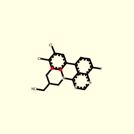 N#CCC1CCCN(c2ncnc3c(F)ccc(-c4ccc(Cl)c(Cl)c4)c23)C1